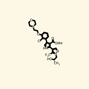 COC(=O)c1c(-c2cccc(OCCN3CCOCC3)c2Cl)c[nH]c1-c1cnn(C[C@H](C)O)c1C(F)(F)F